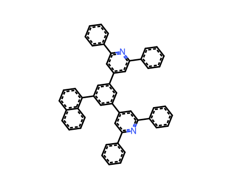 c1ccc(-c2cc(-c3cc(-c4cc(-c5ccccc5)nc(-c5ccccc5)c4)cc(-c4cccc5ccccc45)c3)cc(-c3ccccc3)n2)cc1